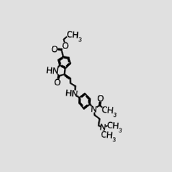 CCOC(=O)c1ccc2c(c1)NC(=O)/C2=C\CCNc1ccc(N(CCCN(C)C)C(C)=O)cc1